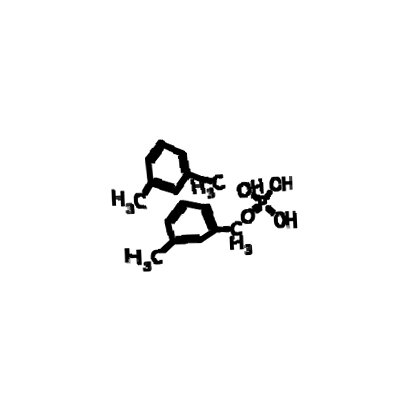 Cc1cccc(C)c1.Cc1cccc(C)c1.O=P(O)(O)O